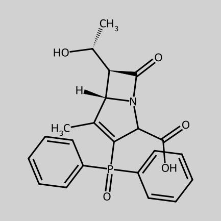 CC1=C(P(=O)(c2ccccc2)c2ccccc2)C(C(=O)O)N2C(=O)[C@H]([C@@H](C)O)[C@@H]12